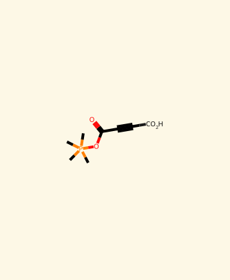 CP(C)(C)(C)OC(=O)C#CC(=O)O